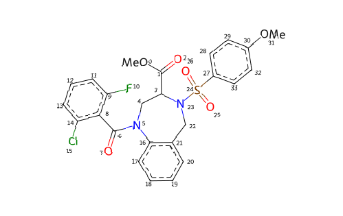 COC(=O)C1CN(C(=O)c2c(F)cccc2Cl)c2ccccc2CN1S(=O)(=O)c1ccc(OC)cc1